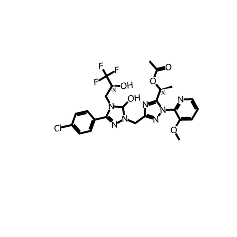 COc1cccnc1-n1nc(CN2N=C(c3ccc(Cl)cc3)N(C[C@H](O)C(F)(F)F)C2O)nc1[C@H](C)OC(C)=O